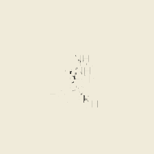 Cl.NC(=O)C[C@@H](N)C(=O)N1CC(Oc2ccc3c(c2C(=O)O)OB(O)CC3)C1